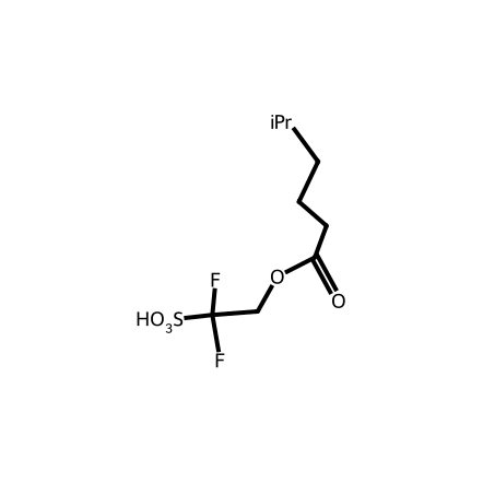 CC(C)CCCC(=O)OCC(F)(F)S(=O)(=O)O